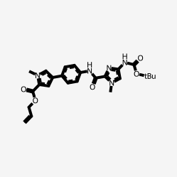 C=CCOC(=O)c1cc(-c2ccc(NC(=O)c3nc(NC(=O)OC(C)(C)C)cn3C)cc2)cn1C